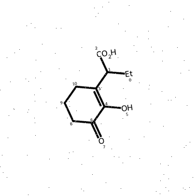 CCC(C(=O)O)C1=C(O)C(=O)CCC1